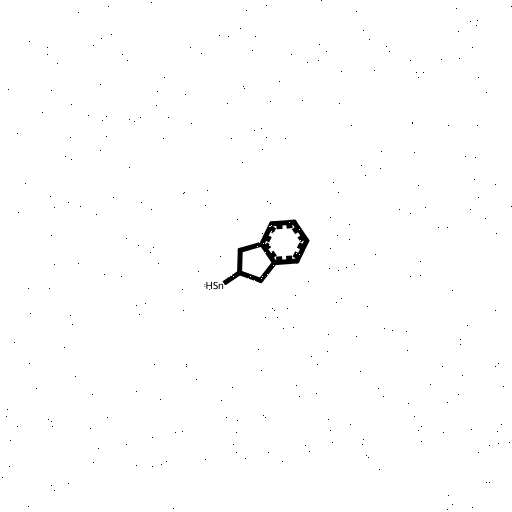 [SnH][CH]1Cc2ccccc2C1